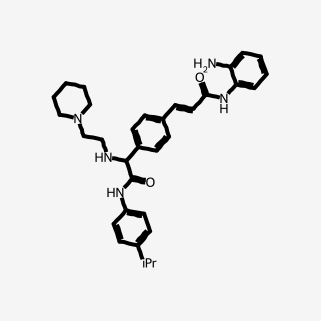 CC(C)c1ccc(NC(=O)C(NCCN2CCCCC2)c2ccc(C=CC(=O)Nc3ccccc3N)cc2)cc1